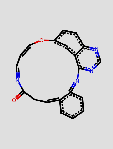 O=C1C/C=c2/cccc/c2=N/c2ncnc3ccc(cc23)O/C=C\C=N/1